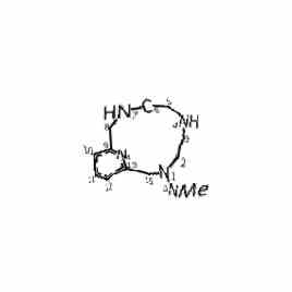 CNN1CCNCCNCc2cccc(n2)C1